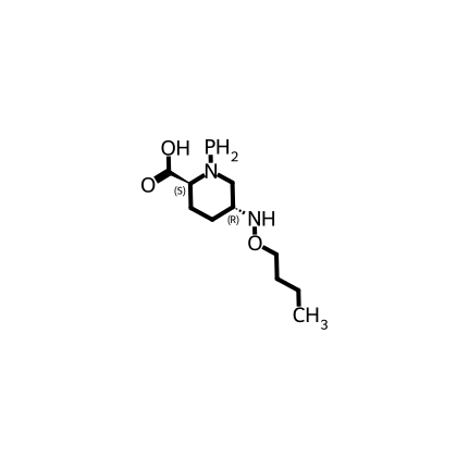 CCCCON[C@@H]1CC[C@@H](C(=O)O)N(P)C1